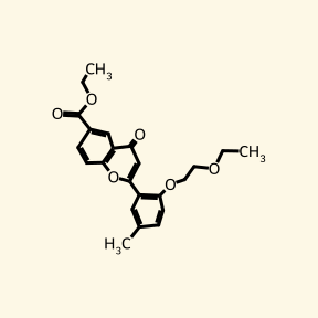 CCOCCOc1ccc(C)cc1-c1cc(=O)c2cc(C(=O)OCC)ccc2o1